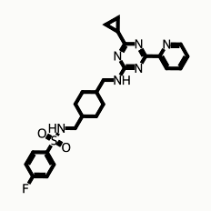 O=S(=O)(NCC1CCC(CNc2nc(-c3ccccn3)nc(C3CC3)n2)CC1)c1ccc(F)cc1